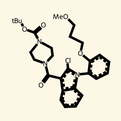 COCCCOc1ccccc1-n1c(Cl)c(C(=O)N2CCN(C(=O)OC(C)(C)C)CC2)c2ccccc21